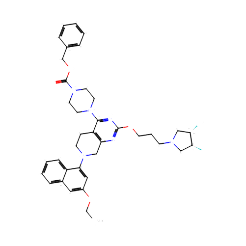 COCOc1cc(N2CCc3c(nc(OCCCN4C[C@@H](F)[C@@H](F)C4)nc3N3CCN(C(=O)OCc4ccccc4)CC3)C2)c2ccccc2c1